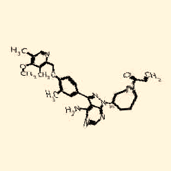 C=CC(=O)N1CCC[C@@H](n2nc(-c3ccc(OCc4ncc(C)c(OC)c4C)c(C)c3)c3c(N)ncnc32)C1